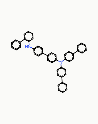 c1ccc(-c2ccc(N(c3ccc(-c4ccccc4)cc3)c3ccc(-c4ccc(Nc5ccccc5-c5ccccc5)cc4)cc3)cc2)cc1